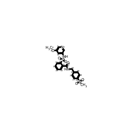 COc1cncc(NS(=O)(=O)c2ccccc2C(=O)NCc2ccc(S(C)(=O)=O)cc2)c1